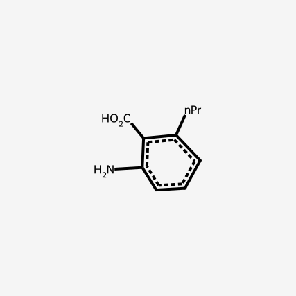 CCCc1cccc(N)c1C(=O)O